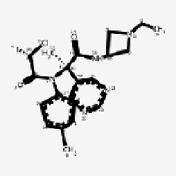 Cc1ccc(N(C(=O)[C@H](F)Cl)[C@@](C)(C(=O)NC2CN(CC(F)(F)F)C2)c2cncnc2)cc1